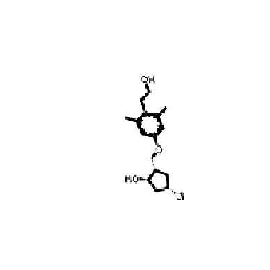 Cc1cc(OC[C@@H]2C[C@H](Cl)C[C@H]2O)cc(C)c1CCO